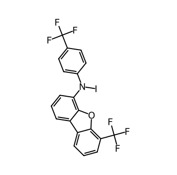 FC(F)(F)c1ccc(N(I)c2cccc3c2oc2c(C(F)(F)F)cccc23)cc1